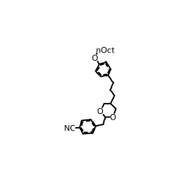 CCCCCCCCOc1ccc(CCCC2COC(Cc3ccc(C#N)cc3)OC2)cc1